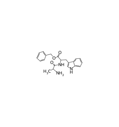 CC(N)C(=O)NC(Cc1c[nH]c2ccccc12)C(=O)OCc1ccccc1